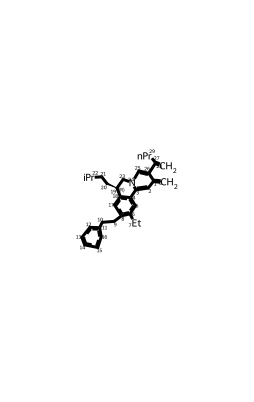 C=C1C=C2c3cc(CC)c(CCc4ccccc4)cc3[C@@H](CCC(C)C)CN2C=C1C(=C)CCC